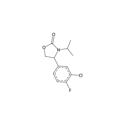 CC(C)N1C(=O)OCC1c1ccc(F)c(Cl)c1